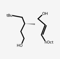 CCCCCCCC/C=C/CO.C[C@H](CCO)CC(C)(C)C